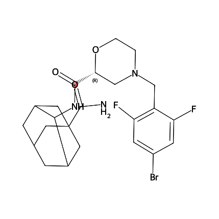 NC(=O)C12CC3CC(C1)C(NC(=O)[C@H]1CN(Cc4c(F)cc(Br)cc4F)CCO1)C(C3)C2